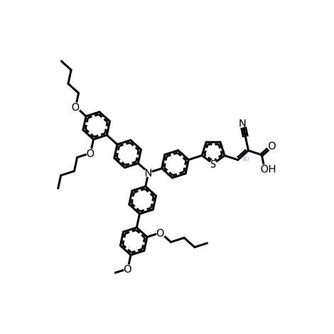 CCCCOc1ccc(-c2ccc(N(c3ccc(-c4ccc(/C=C(\C#N)C(=O)O)s4)cc3)c3ccc(-c4ccc(OC)cc4OCCCC)cc3)cc2)c(OCCCC)c1